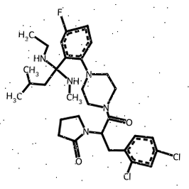 CCNC(CC(C)C)(NC)c1cc(F)ccc1N1CCN(C(=O)C(Cc2ccc(Cl)cc2Cl)N2CCCC2=O)CC1